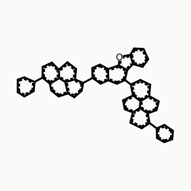 c1ccc(-c2ccc3ccc4c(-c5ccc6c(c5)cc(-c5ccc7ccc8c(-c9ccccc9)ccc9ccc5c7c98)c5c7ccccc7oc65)ccc5ccc2c3c54)cc1